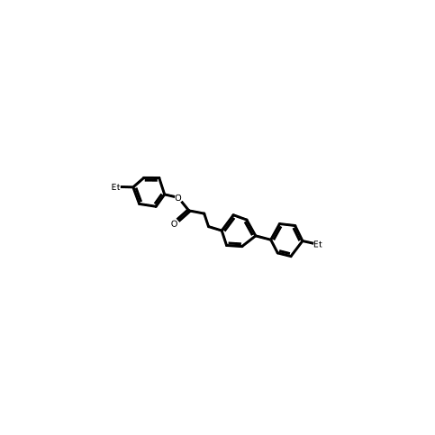 CCc1ccc(OC(=O)CCc2ccc(-c3ccc(CC)cc3)cc2)cc1